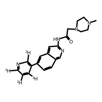 [2H]c1nc([2H])c(-c2ccc3cnc(NC(=O)CN4CCN(C)CC4)cc3c2)c([2H])c1[2H]